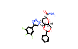 NC(=O)[C@H]1C[C@@H](n2cc(-c3cc(F)c(F)c(F)c3)nn2)[C@H]2OC(c3ccccc3)OC[C@H]2O1